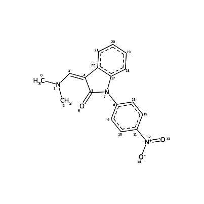 CN(C)C=C1C(=O)N(c2ccc([N+](=O)[O-])cc2)c2ccccc21